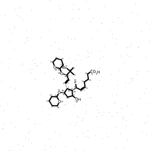 CCCCC(C)(C)[C@@H](/C=C/[C@@H]1[C@@H](C(F)/C=C\CCCC(=O)O)C(O)C[C@H]1OC1CCCCO1)OC1CCCCO1